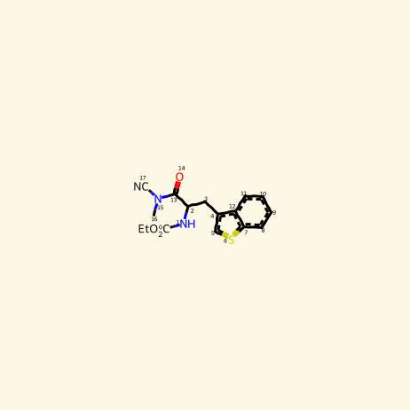 CCOC(=O)NC(Cc1csc2ccccc12)C(=O)N(C)C#N